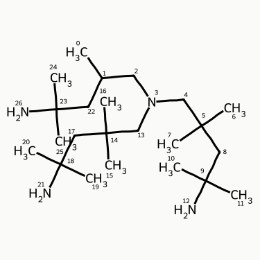 CC(CN(CC(C)(C)CC(C)(C)N)CC(C)(C)CC(C)(C)N)CC(C)(C)N